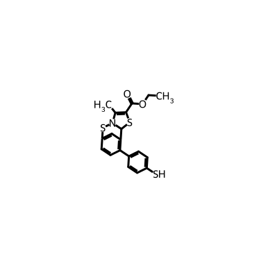 CCOC(=O)C1=C(C)N2Sc3ccc(-c4ccc(S)cc4)c(c3)C2S1